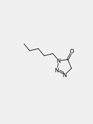 CCCCCN1N=NCC1=O